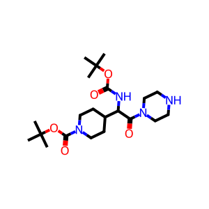 CC(C)(C)OC(=O)NC(C(=O)N1CCNCC1)C1CCN(C(=O)OC(C)(C)C)CC1